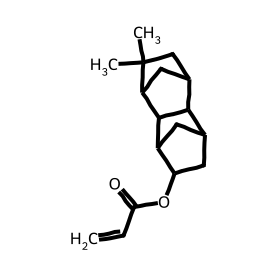 C=CC(=O)OC1CC2CC1C1C2C2CC1C(C)(C)C2